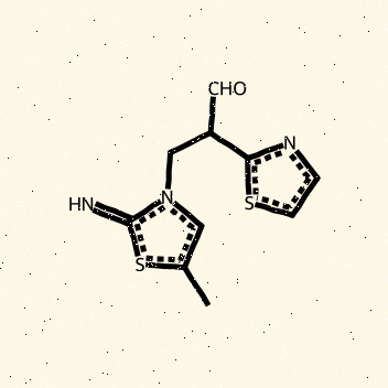 Cc1cn(CC(C=O)c2nccs2)c(=N)s1